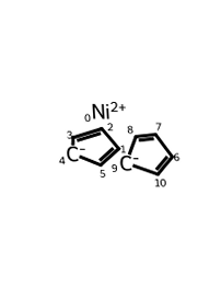 [Ni+2].c1cc[cH-]c1.c1cc[cH-]c1